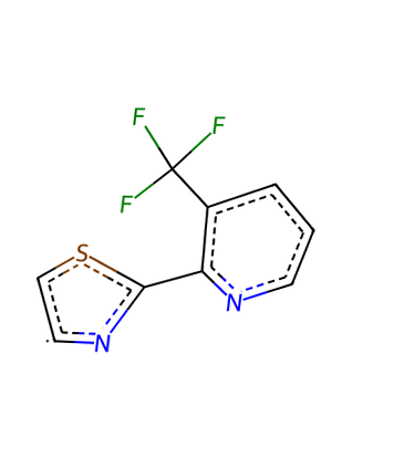 FC(F)(F)c1cccnc1-c1n[c]cs1